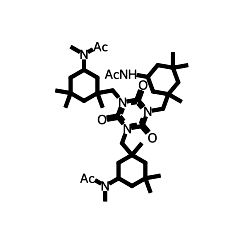 CC(=O)NC1CC(C)(C)CC(C)(Cn2c(=O)n(CC3(C)CC(N(C)C(C)=O)CC(C)(C)C3)c(=O)n(CC3(C)CC(N(C)C(C)=O)CC(C)(C)C3)c2=O)C1